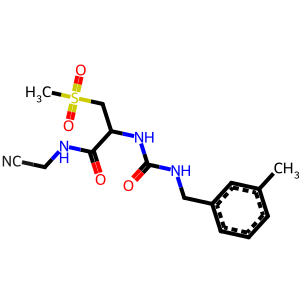 Cc1cccc(CNC(=O)NC(CS(C)(=O)=O)C(=O)NCC#N)c1